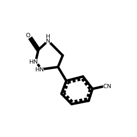 N#Cc1cccc(C2CNC(=O)NN2)c1